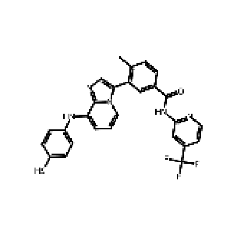 Cc1ccc(C(=O)Nc2cc(C(F)(F)F)ccn2)cc1-c1cnc2c(Nc3ccc(S)cc3)cccn12